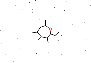 CCC1OC(C)CC(C)C(C)C1C